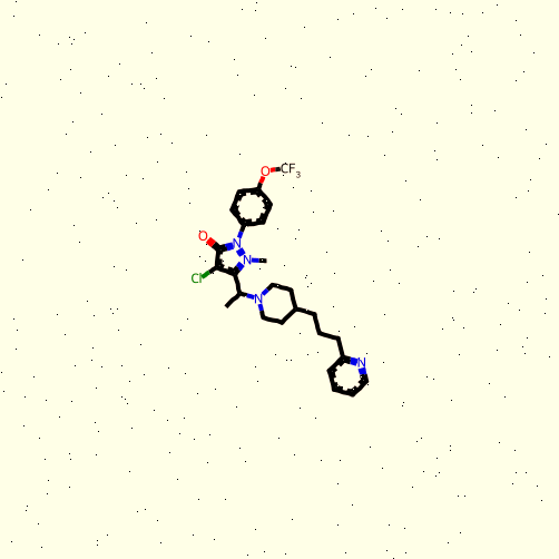 CC(c1c(Cl)c(=O)n(-c2ccc(OC(F)(F)F)cc2)n1C)N1CCC(CCCc2ccccn2)CC1